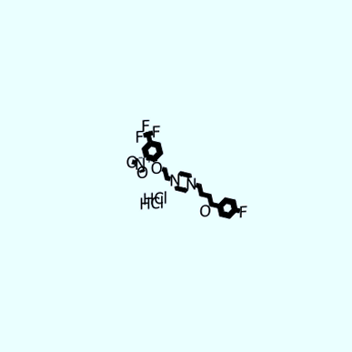 Cl.Cl.O=C(CCCN1CCN(CCOc2ccc(C(F)(F)F)cc2[N+](=O)[O-])CC1)c1ccc(F)cc1